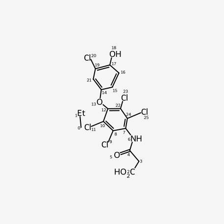 CCC.O=C(O)CC(=O)Nc1c(Cl)c(Cl)c(Oc2ccc(O)c(Cl)c2)c(Cl)c1Cl